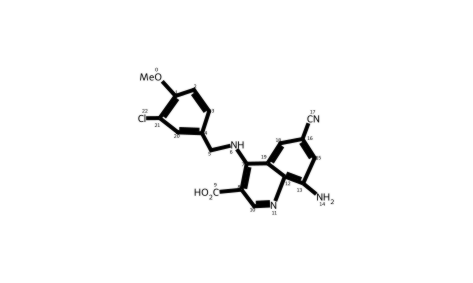 COc1ccc(CNc2c(C(=O)O)cnc3c(N)cc(C#N)cc23)cc1Cl